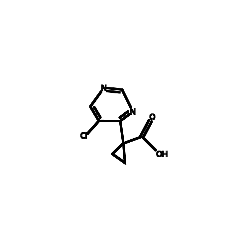 O=C(O)C1(c2ncncc2Cl)CC1